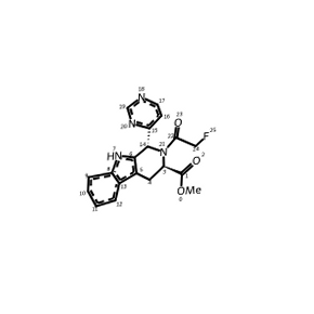 COC(=O)[C@H]1Cc2c([nH]c3ccccc23)[C@H](c2ccncn2)N1C(=O)CF